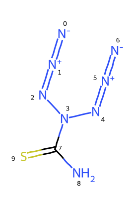 [N-]=[N+]=NN(N=[N+]=[N-])C(N)=S